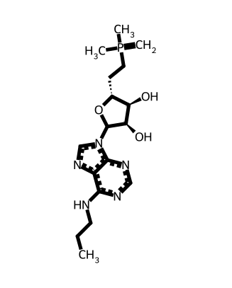 C=P(C)(C)CC[C@H]1OC(n2cnc3c(NCCC)ncnc32)[C@H](O)[C@@H]1O